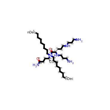 CCCCCCCCCCCCCCCCCC[N+](CCCCCCCCCCCCCCCCCC)(C(=O)[C@H](CCCNCCCN)NCCCN)[C@@H](CCC(N)=O)C(=O)O